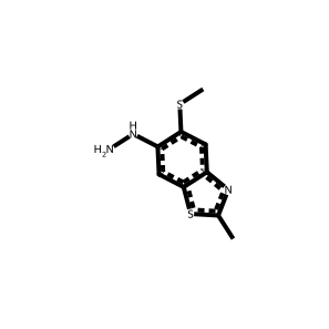 CSc1cc2nc(C)sc2cc1NN